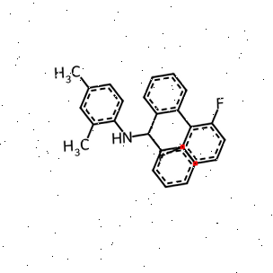 Cc1ccc(NC(c2ccccc2)c2ccccc2-c2c(F)cccc2F)c(C)c1